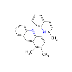 Cc1ccc2ccccc2n1.Cc1ccc2nc3ccccc3cc2c1C